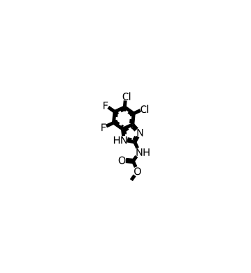 COC(=O)Nc1nc2c(Cl)c(Cl)c(F)c(F)c2[nH]1